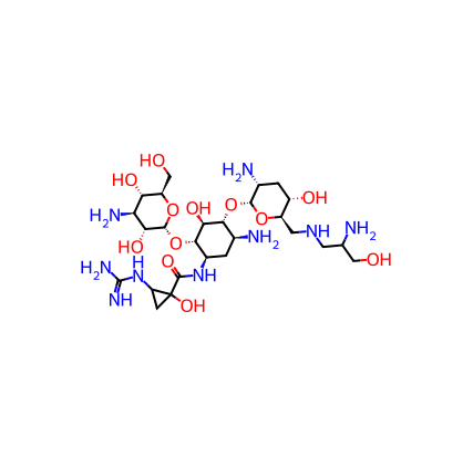 N=C(N)NC1CC1(O)C(=O)N[C@@H]1C[C@H](N)[C@@H](O[C@H]2O[C@H](CNCC(N)CO)[C@@H](O)C[C@H]2N)[C@H](O)[C@H]1O[C@H]1O[C@H](CO)[C@@H](O)[C@H](N)[C@H]1O